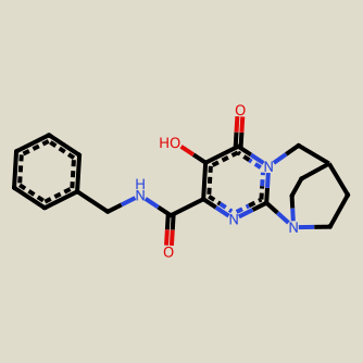 O=C(NCc1ccccc1)c1nc2n(c(=O)c1O)CC1CCN2CC1